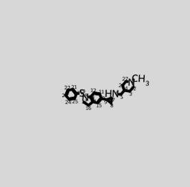 CN1CCC(CNC2CC2c2ccc3c(c2)CCN3Sc2ccccc2)CC1